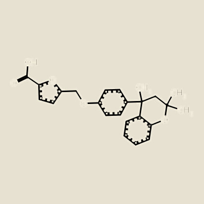 CC1(C)CC(C)(c2ccc(OCc3ccc(C(=O)O)o3)cc2)c2ccccc2O1